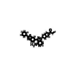 C=CC(=O)N1CC2CC(n3nc(-c4ccc5nc(-c6ccccc6)sc5c4)c4c(N)ncnc43)CC2C1